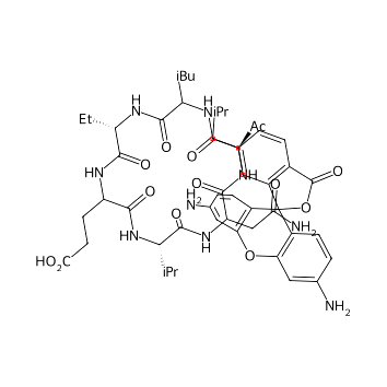 CCC(C)C(NC(=O)c1ccc2c(c1)C1(OC2=O)c2ccc(N)cc2Oc2cc(N)ccc21)C(=O)N[C@@H](CC)C(=O)NC(CCC(=O)O)C(=O)N[C@H](C(=O)NC(CC(N)=O)C(=O)N[C@@H](CC(C)C)C(C)=O)C(C)C